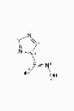 CC(C)C(=NO)n1cncn1